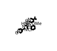 C=C(C)c1ccc(S(=O)(=O)Nc2nc(-c3cc[n+]([O-])cc3)nc(Cl)c2Oc2ccccc2OC)nc1